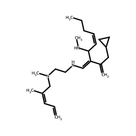 C=C/C=C(/C)CN(C)CCN/C=C(/C(=C)CC1CC1)C(/C=C\CCC)NC